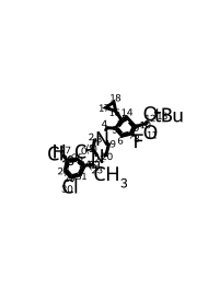 C[C@H]1CN(Cc2cc(F)c(C(=O)OC(C)(C)C)cc2C2CC2)CCN1[C@@H](C)c1cc(Cl)cc(Cl)c1